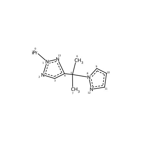 CC(C)n1ncc(C(C)(C)n2cccn2)n1